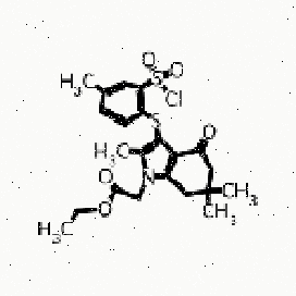 CCOC(=O)Cn1c(C)c(Sc2ccc(C)cc2S(=O)(=O)Cl)c2c1CC(C)(C)CC2=O